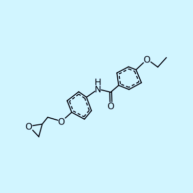 CCOc1ccc(C(=O)Nc2ccc(OCC3CO3)cc2)cc1